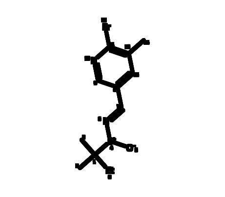 CCC(C)(C)[S+]([O-])/N=C/c1cnc(Br)c(C)c1